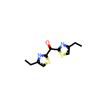 CCc1csc(C(=O)c2nc(CC)cs2)n1